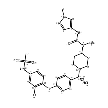 CCCCN(C(=O)Nc1cnn(C)c1)C1CCN(Cc2ccc(Oc3ccc(NS(C)(=O)=O)cc3Cl)nc2)CC1.Cl.Cl